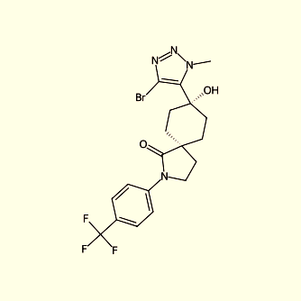 Cn1nnc(Br)c1[C@]1(O)CC[C@@]2(CCN(c3ccc(C(F)(F)F)cc3)C2=O)CC1